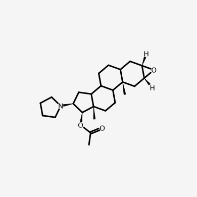 CC(=O)O[C@H]1[C@@H](N2CCCC2)CC2C3CCC4C[C@@H]5O[C@@H]5C[C@]4(C)C3CC[C@@]21C